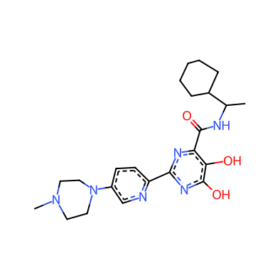 CC(NC(=O)c1nc(-c2ccc(N3CCN(C)CC3)cn2)nc(O)c1O)C1CCCCC1